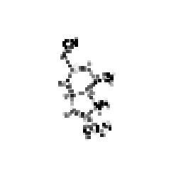 N#CCc1cc(Br)c2[nH]c(C(=O)O)cc2c1